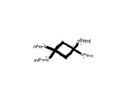 CCCCCC1(CCCCC)CC(CCCCC)(CCCCC)C1